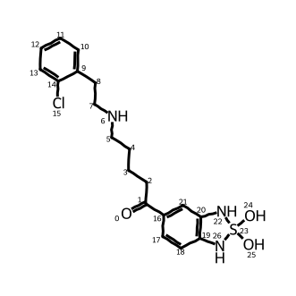 O=C(CCCCNCCc1ccccc1Cl)c1ccc2c(c1)NS(O)(O)N2